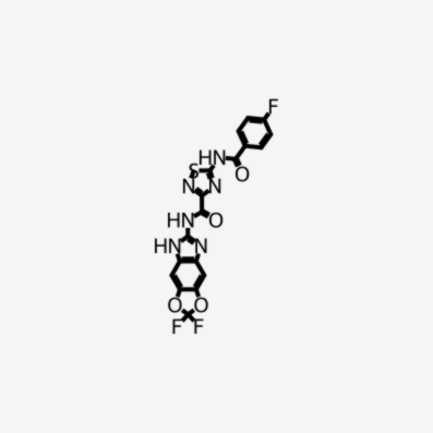 O=C(Nc1nc(C(=O)Nc2nc3cc4c(cc3[nH]2)OC(F)(F)O4)ns1)c1ccc(F)cc1